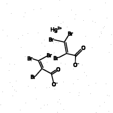 O=C([O-])C(Br)=C(Br)Br.O=C([O-])C(Br)=C(Br)Br.[Hg+2]